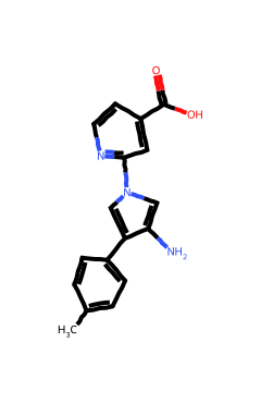 Cc1ccc(-c2cn(-c3cc(C(=O)O)ccn3)cc2N)cc1